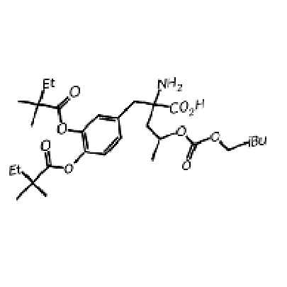 CCC(C)COC(=O)O[C@@H](C)CC(N)(Cc1ccc(OC(=O)C(C)(C)CC)c(OC(=O)C(C)(C)CC)c1)C(=O)O